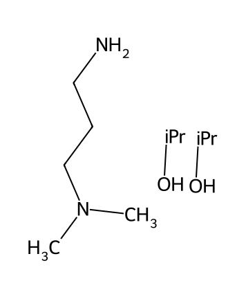 CC(C)O.CC(C)O.CN(C)CCCN